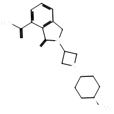 CO[C@H]1CC[C@H](N2CC(N3Cc4cccc(C(N)=O)c4C3=O)C2)CC1